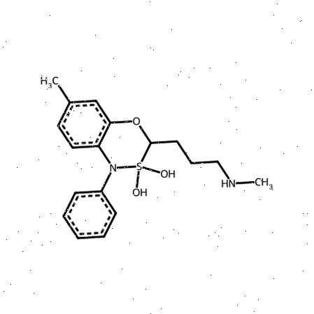 CNCCCC1Oc2cc(C)ccc2N(c2ccccc2)S1(O)O